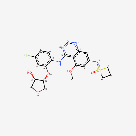 COc1cc(N=S2(=O)CCC2)cc2ncnc(Nc3ccc(F)cc3O[C@H]3COC[C@H]3O)c12